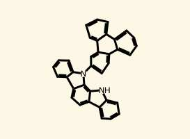 c1ccc2c(c1)[nH]c1c2ccc2c3ccccc3n(-c3ccc4c5ccccc5c5ccccc5c4c3)c21